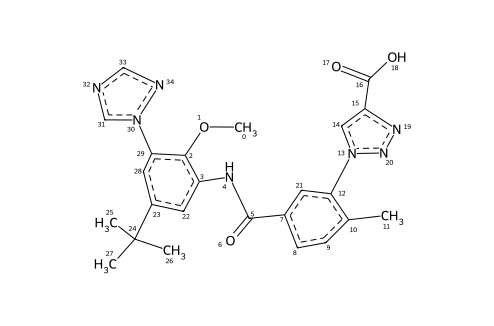 COc1c(NC(=O)c2ccc(C)c(-n3cc(C(=O)O)nn3)c2)cc(C(C)(C)C)cc1-n1cncn1